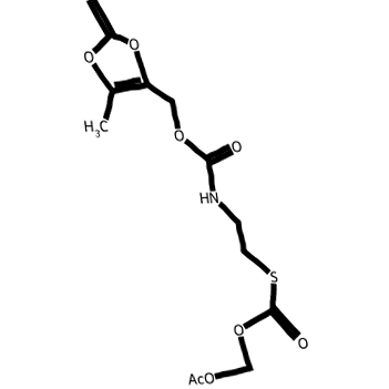 CC(=O)OCOC(=O)SCCNC(=O)OCc1oc(=O)oc1C